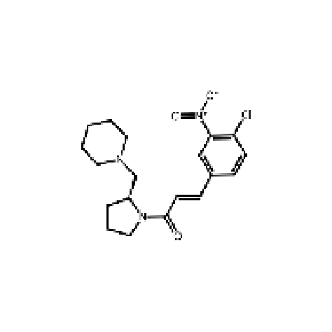 O=C(/C=C/c1ccc(Cl)c([N+](=O)[O-])c1)N1CCC[C@H]1CN1CCCCC1